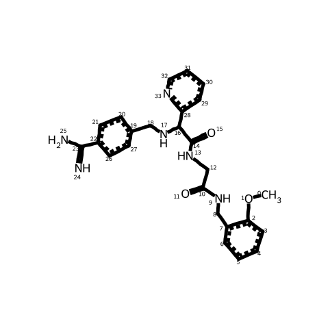 COc1ccccc1CNC(=O)CNC(=O)C(NCc1ccc(C(=N)N)cc1)c1ccccn1